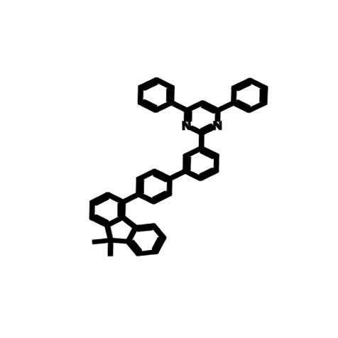 CC1(C)c2ccccc2-c2c(-c3ccc(-c4cccc(-c5nc(-c6ccccc6)cc(-c6ccccc6)n5)c4)cc3)cccc21